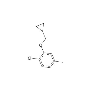 Cc1ccc(Cl)c(OCC2CC2)c1